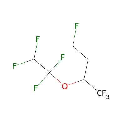 FCCC(OC(F)(F)C(F)F)C(F)(F)F